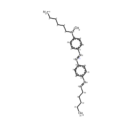 CCCCCCN(C)c1ccc(/N=N/c2ccc(N=NCCCCC)cc2)cc1